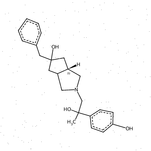 CC(O)(CN1CC2CC(O)(Cc3ccccc3)C[C@@H]2C1)c1ccc(O)cc1